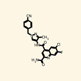 Cc1nn(Cc2ccc(C#N)cc2)cc1NC(=O)c1cc(C(N)=O)nc2cc(F)c(Cl)cc12